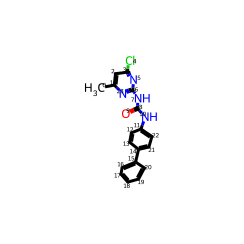 Cc1cc(Cl)nc(NC(=O)Nc2ccc(-c3ccccc3)cc2)n1